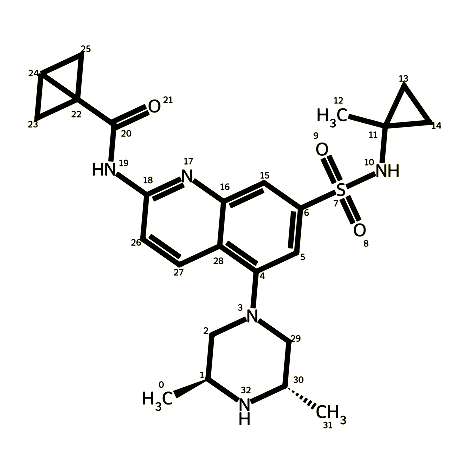 C[C@H]1CN(c2cc(S(=O)(=O)NC3(C)CC3)cc3nc(NC(=O)C45CC4C5)ccc23)C[C@H](C)N1